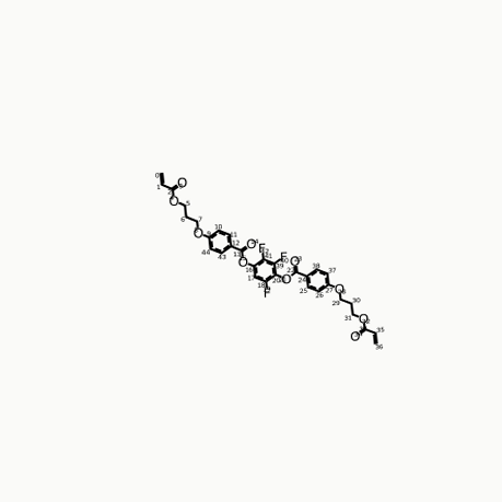 C=CC(=O)OCCCOc1ccc(C(=O)Oc2cc(F)c(OC(=O)c3ccc(OCCCOC(=O)C=C)cc3)c(F)c2F)cc1